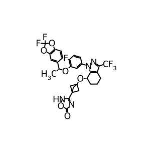 C[C@H](Oc1cc(-n2nc(C(F)(F)F)c3c2[C@H](OC24CC(c5nc(=O)o[nH]5)(C2)C4)CCC3)ccc1F)c1ccc2c(c1)OC(F)(F)O2